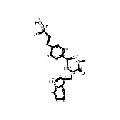 COC(=O)C(Cc1c[nH]c2ccccc12)NC(=O)c1ccc(/C=C/C(=O)NO)cc1